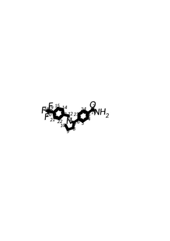 NC(=O)c1ccc(C2CCCN2Cc2ccc(C(F)(F)F)cc2)cc1